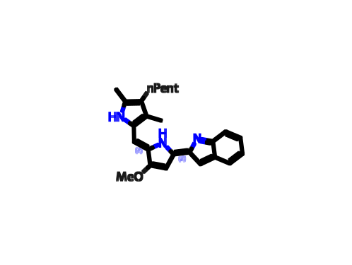 CCCCCc1c(C)[nH]c(/C=c2\[nH]/c(=C3/C=c4ccccc4=N3)cc2OC)c1C